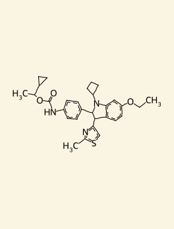 CCOc1ccc2c(c1)N(C1CCC1)C(c1ccc(NC(=O)OC(C)C3CC3)cc1)C2c1csc(C)n1